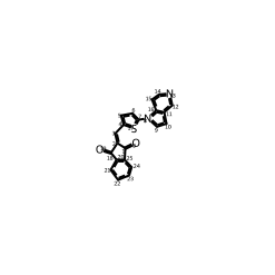 O=C1C(=Cc2ccc(-n3ccc4cnccc43)s2)C(=O)c2ccccc21